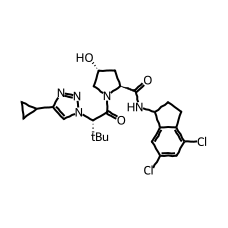 CC(C)(C)[C@@H](C(=O)N1C[C@H](O)C[C@H]1C(=O)NC1CCc2c(Cl)cc(Cl)cc21)n1cc(C2CC2)nn1